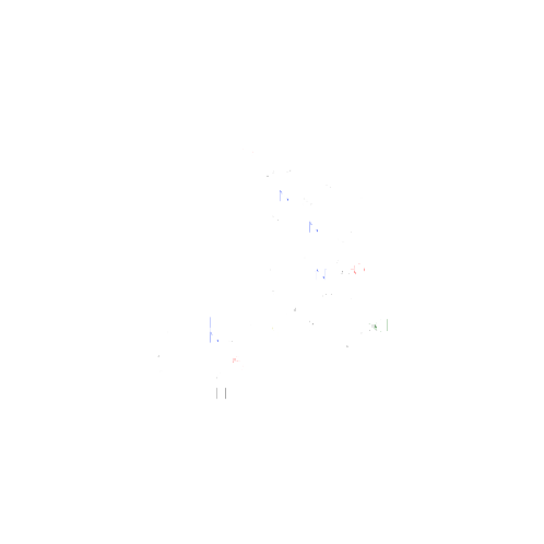 Cc1cccc(F)c1NC(=O)c1cc2c(s1)-c1ccc(Cl)cc1N(C(=O)c1cccc(N3CC[C@H](O)C3)n1)CC2